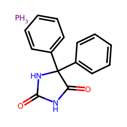 O=C1NC(=O)C(c2ccccc2)(c2ccccc2)N1.P